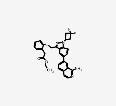 CCOC(=O)Cc1ccccc1OCc1nn(C2CC(F)(F)C2)c2ccc(-c3ccc4ccnc(N)c4c3)cc12